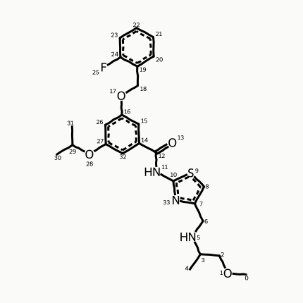 COCC(C)NCc1csc(NC(=O)c2cc(OCc3ccccc3F)cc(OC(C)C)c2)n1